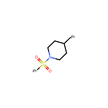 CC(C)C1CCN(S(=O)(=O)C(C)C)CC1